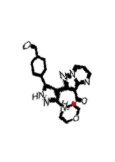 NC(=O)c1c(-c2c(N3CCOCC3)n[nH]c2C2CCC(C=O)CC2)nn2cccnc12